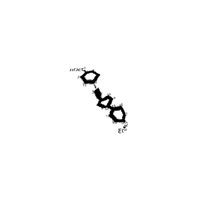 CCCCCCCC[C@H]1CC[C@H](C#Cc2ccc(-c3ccc(OCC)cc3)cc2)CC1